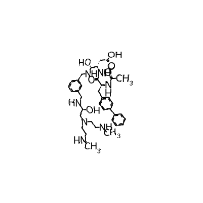 CNCCN(CCNC)C[C@H](O)NCc1cccc(CN[C@H](O)[C@H](CC(=O)O)NC(=O)[C@H](Cc2ccc(-c3ccccc3)cc2)NC(C)=O)c1